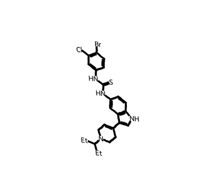 CCC(CC)N1CC=C(c2c[nH]c3ccc(NC(=S)Nc4ccc(Br)c(Cl)c4)cc23)CC1